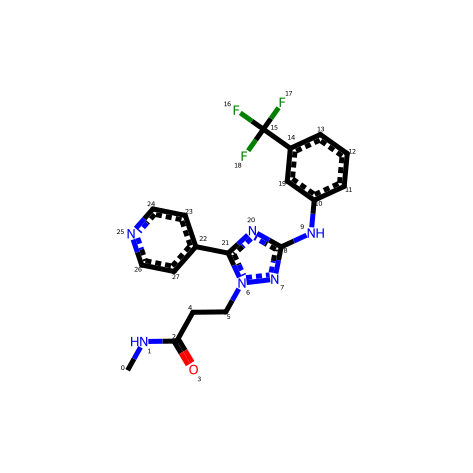 CNC(=O)CCn1nc(Nc2cccc(C(F)(F)F)c2)nc1-c1ccncc1